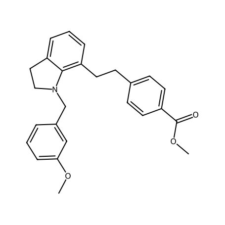 COC(=O)c1ccc(CCc2cccc3c2N(Cc2cccc(OC)c2)CC3)cc1